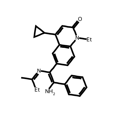 CC/C(C)=N\C(=C(/N)c1ccccc1)c1ccc2c(c1)c(C1CC1)cc(=O)n2CC